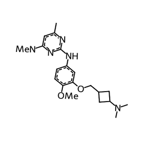 CNc1cc(C)nc(Nc2ccc(OC)c(OCC3CC(N(C)C)C3)c2)n1